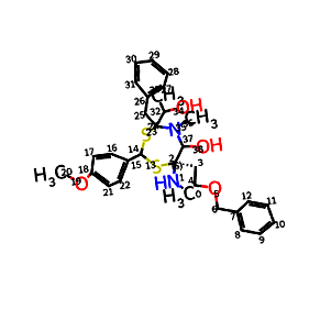 CN[C@@]1(CCOCc2ccccc2)SC(c2ccc(OC)cc2)SC(Cc2ccccc2)(C(C)O)N(C)C1O